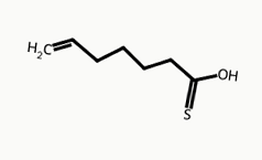 C=CCCCCC(O)=S